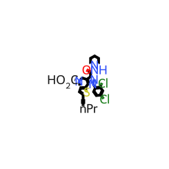 CCCC#Cc1ccc(-c2c(CN(C)C(=O)O)c(C(=O)NN3CCCCC3)nn2-c2ccc(Cl)cc2Cl)s1